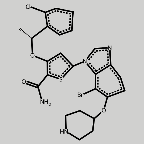 C[C@@H](Oc1cc(-n2cnc3ccc(OC4CCNCC4)c(Br)c32)sc1C(N)=O)c1ccccc1Cl